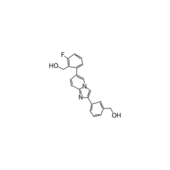 OCc1cccc(-c2cn3cc(-c4cccc(F)c4CO)ccc3n2)c1